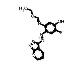 CCOC=Nc1cc(O)c(F)cc1/N=N/c1snc2ncccc12